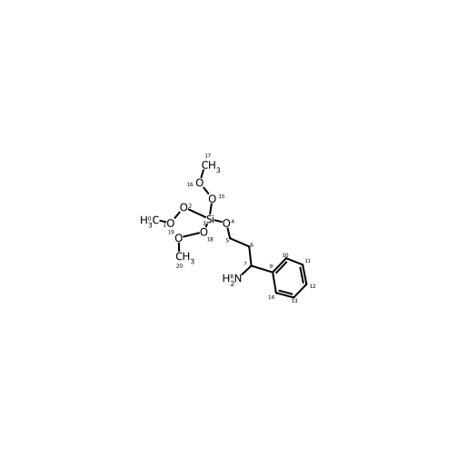 COO[Si](OCCC(N)c1ccccc1)(OOC)OOC